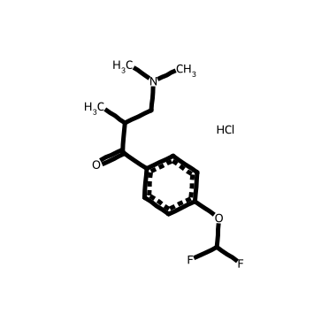 CC(CN(C)C)C(=O)c1ccc(OC(F)F)cc1.Cl